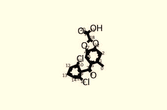 Cc1cc2c(cc1C(=O)c1c(Cl)cccc1Cl)OC(C(=O)O)O2